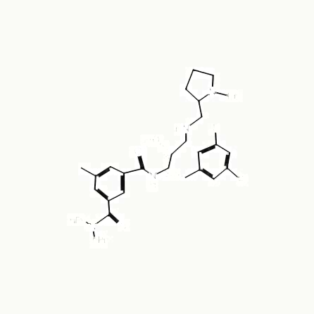 CCCN(CCC)C(=O)c1cc(C)cc(C(=O)N[C@@H](Cc2cc(F)cc(F)c2)[C@H](O)CNCC2CCCN2CC)c1